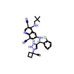 B#CC1(N2C=C([C@@H](Nc3cc(C#N)c4ncc(C#N)c(NCC(C)(C)C)c4c3)c3ccccc3Cl)NN2)CCC1